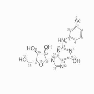 CC(=O)c1cccc(Nc2nc(O)c3ncn([C@@H]4O[C@H](CO)[C@@H](O)[C@H]4O)c3n2)c1